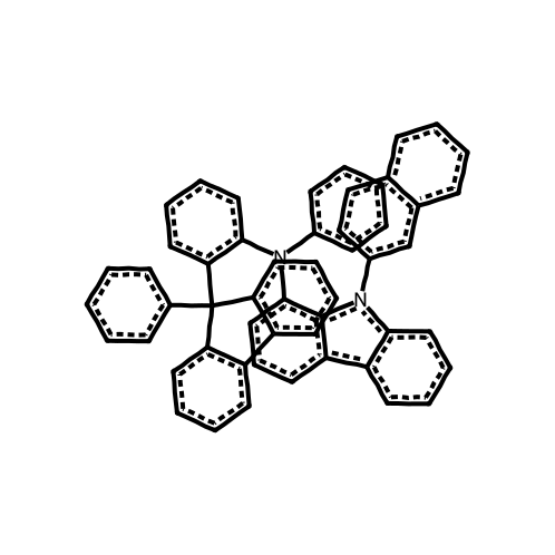 c1ccc(N(c2ccccc2C2(c3ccccc3)c3ccccc3-c3ccccc32)c2cccc3c4ccccc4n(-c4ccc5ccccc5c4)c23)cc1